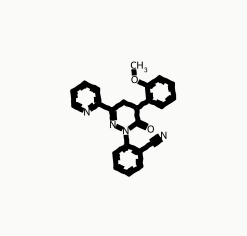 COc1ccccc1C1CC(c2ccccn2)=NN(c2ccccc2C#N)C1=O